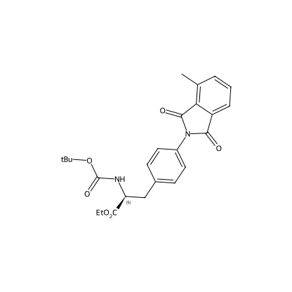 CCOC(=O)[C@H](Cc1ccc(N2C(=O)c3cccc(C)c3C2=O)cc1)NC(=O)OC(C)(C)C